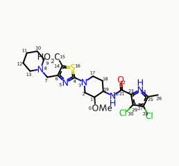 COC1CN(c2nc(CN3CCCCC3)c(C(=O)O)s2)CCC1NC(=O)c1[nH]c(C)c(Cl)c1Cl